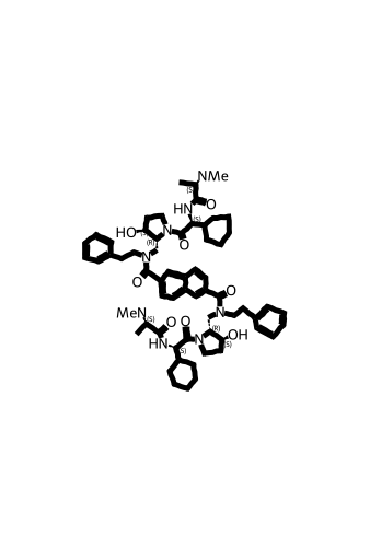 CN[C@@H](C)C(=O)N[C@H](C(=O)N1CC[C@H](O)[C@H]1CN(CCc1ccccc1)C(=O)c1ccc2cc(C(=O)N(CCc3ccccc3)C[C@@H]3[C@@H](O)CCN3C(=O)[C@@H](NC(=O)[C@H](C)NC)C3CCCCC3)ccc2c1)C1CCCCC1